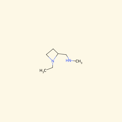 CCN1CCC1CNC